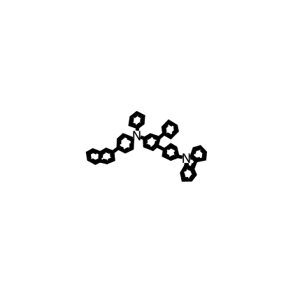 c1ccc(-c2cc(N(c3ccccc3)c3ccc(-c4ccc5ccccc5c4)cc3)ccc2-c2ccc(-n3c4ccccc4c4ccccc43)cc2)cc1